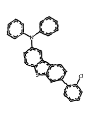 Clc1ccccc1-c1ccc2c(c1)sc1ccc(N(c3ccccc3)c3ccccc3)cc12